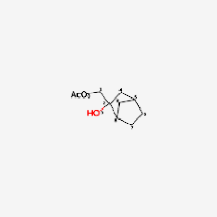 CC(=O)OCC1(O)CC2CCC1C2